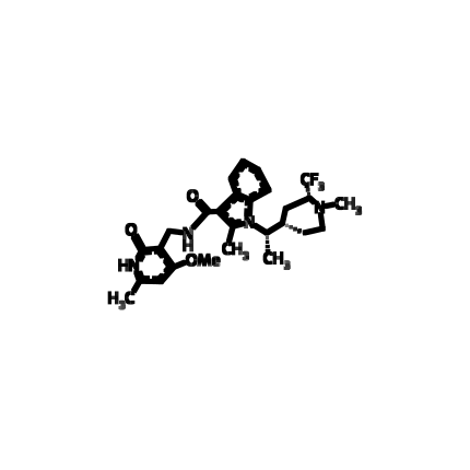 COc1cc(C)[nH]c(=O)c1CNC(=O)c1c(C)n([C@@H](C)[C@H]2CCN(C)[C@@H](C(F)(F)F)C2)c2ccccc12